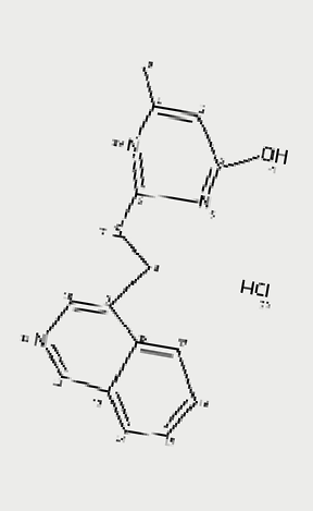 Cc1cc(O)nc(SCc2cncc3ccccc23)n1.Cl